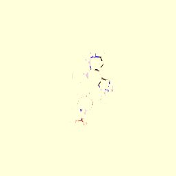 Nc1nnc(Cl)cc1-c1cnn(C[C@@H]2CCCN(C(=O)O)C2)c1